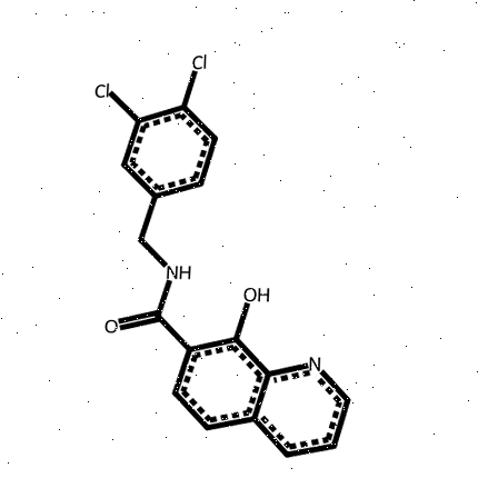 O=C(NCc1ccc(Cl)c(Cl)c1)c1ccc2cccnc2c1O